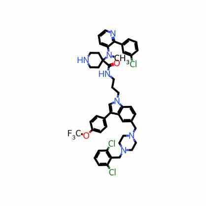 CN(c1cccnc1-c1cccc(Cl)c1)C1(C(=O)NCCCn2cc(-c3ccc(OC(F)(F)F)cc3)c3cc(CN4CCN(Cc5c(Cl)cccc5Cl)CC4)ccc32)CCNCC1